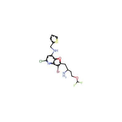 NC(CCOC(F)F)Cc1oc2c(NCc3cccs3)cc(Cl)nc2c1Br